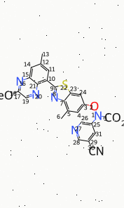 CCOC(=O)N(Oc1cc(C)c2nc(-c3cc(C)cc4nc(OC)cnc34)sc2c1)c1cncc(C#N)c1